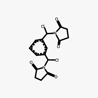 O=C1CCC(=O)N1C(Cl)c1cccc(C(Cl)N2C(=O)CCC2=O)c1